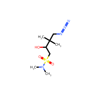 CN(C)S(=O)(=O)CC(O)C(C)(C)CN=[N+]=[N-]